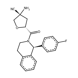 N#C[C@]1(N)CO[C@@H](C(=O)N2CCc3ccccc3[C@@H]2c2ccc(F)cc2)C1